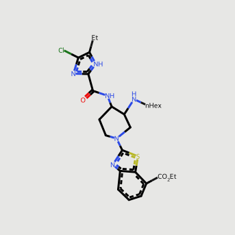 CCCCCCNC1CN(c2nc3cccc(C(=O)OCC)c3s2)CCC1NC(=O)c1nc(Cl)c(CC)[nH]1